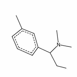 CCC(c1cccc(C)c1)N(C)C